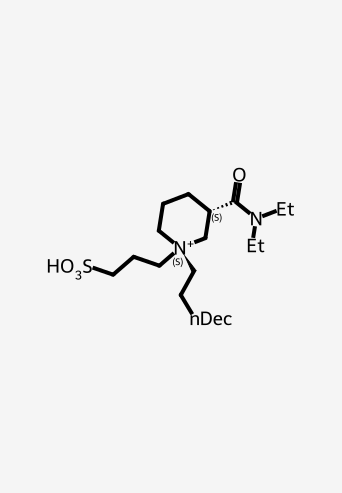 CCCCCCCCCCCC[N@@+]1(CCCS(=O)(=O)O)CCC[C@H](C(=O)N(CC)CC)C1